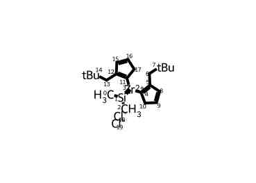 C[Si](C)=[Zr+2]([C]1=C(CC(C)(C)C)C=CC1)[C]1=C(CC(C)(C)C)C=CC1.[Cl-].[Cl-]